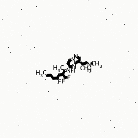 C/C=C/C=C(F)\C=C(/C(F)F)C(C)Nc1ccn2ncc(/C(C)=C/NC)c2n1